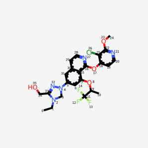 CCN1CN(c2cc(OC(C)C(F)(F)F)c3c(Oc4ccnc(OC)c4Cl)nccc3c2)N=C1CO